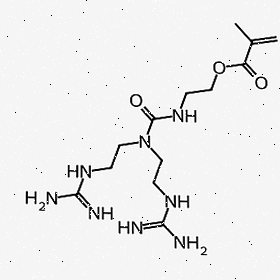 C=C(C)C(=O)OCCNC(=O)N(CCNC(=N)N)CCNC(=N)N